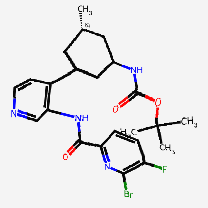 C[C@@H]1CC(NC(=O)OC(C)(C)C)CC(c2ccncc2NC(=O)c2ccc(F)c(Br)n2)C1